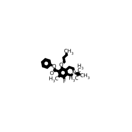 CCCCOc1c2c(c(F)c(C)c1C(=O)Oc1ccccc1)CN(C(C)(C)C)CC2